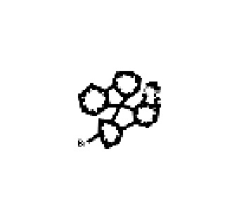 Brc1ccc2c(c1)C1(c3ccccc3-c3ccccc31)c1c-2ccc2ccccc12